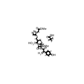 COC(=O)Cn1nnnc1SCC1=C(C(=O)O)N2C(=O)[C@](NC(=O)C(N)c3ccc(O)cc3)(OC)[C@H]2SC1.O=C(O)C(F)(F)F